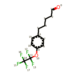 O=CCCCCc1ccc(OC(F)(F)C(F)(F)F)cc1